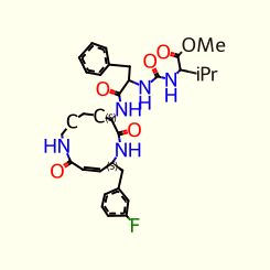 COC(=O)C(NC(=O)NC(Cc1ccccc1)C(=O)N[C@H]1CCCCNC(=O)C=C[C@H](Cc2cccc(F)c2)NC1=O)C(C)C